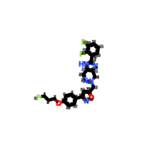 FCCCOc1ccc(-c2cc(CN3Cc4nc(-c5cccc(F)c5F)[nH]c4C=N3)on2)cc1